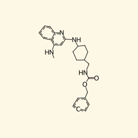 CNc1cc(NC2CCC(CNC(=O)OCc3ccccc3)CC2)nc2ccccc12